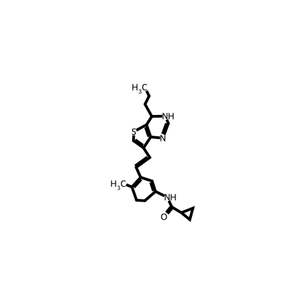 CCCC1NC=Nc2c(/C=C/C3=C(C)CCC(NC(=O)C4CC4)=C3)csc21